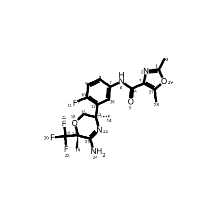 Cc1nc(C(=O)Nc2ccc(F)c([C@]3(C)CO[C@@](C)(C(F)(F)F)C(N)=N3)c2)c(C)o1